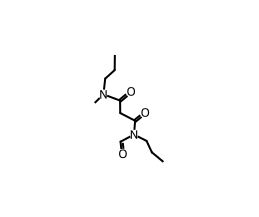 CCCN(C)C(=O)CC(=O)N(C=O)CCC